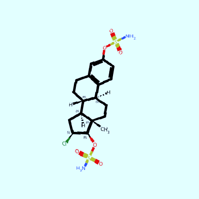 C[C@]12CC[C@@H]3c4ccc(OS(N)(=O)=O)cc4CC[C@H]3[C@@H]1C[C@H](Cl)[C@@H]2OS(N)(=O)=O